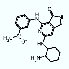 C[S+]([O-])c1cccc(Nc2nc(NC3CCCC[C@@H]3N)cc3c2C(=O)NC3)c1